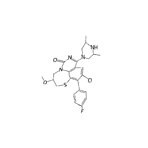 COC1CSc2c(-c3ccc(F)cc3)c(Cl)cc3c(N4CC(C)NC(C)C4)nc(=O)n(c23)C1